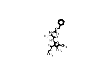 CCOC(=O)c1c(NC(=O)[C@H](C)NC(=O)OCc2ccccc2)sc(C)c1C